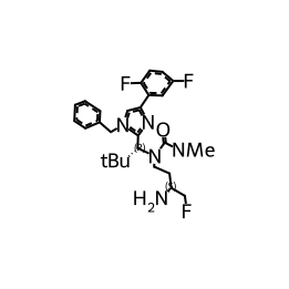 CNC(=O)N(CC[C@H](N)CF)[C@@H](c1nc(-c2cc(F)ccc2F)cn1Cc1ccccc1)C(C)(C)C